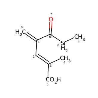 C=C(C=C(C)C(=O)O)C(=O)[SiH2]C